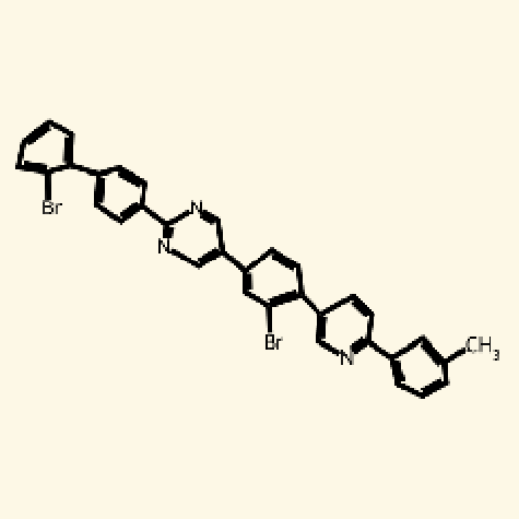 Cc1cccc(-c2ccc(-c3ccc(-c4cnc(-c5ccc(-c6ccccc6Br)cc5)nc4)cc3Br)cn2)c1